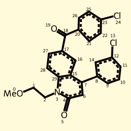 COCCn1c(=O)cc(-c2cccc(Cl)c2)c2cc(C(=O)c3ccc(Cl)cc3)ccc21